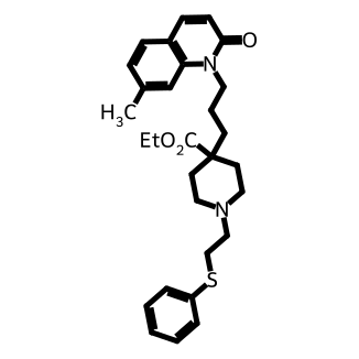 CCOC(=O)C1(CCCn2c(=O)ccc3ccc(C)cc32)CCN(CCSc2ccccc2)CC1